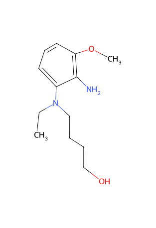 CCN(CCCCO)c1cccc(OC)c1N